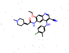 CCOc1cc2ncc(C#N)c(Nc3ccc(F)c(C)c3)c2cc1NC(=O)C=C1CCN(C)CC1